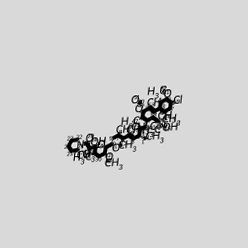 CC[C@H](/C=C(\C)C[C@H](C)C[C@H](OC)[C@H]1O[C@@](O)(C(=O)C(=O)N2CCCCC2C)[C@H](C)C[C@@H]1OC)C(=O)C[C@H](CC(C)(C)[Si](C)(C)O)[C@H](C)[C@H](OC=O)/C(C)=C/C1CC[C@H](Cl)[C@H](OC)C1